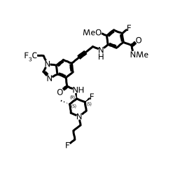 CNC(=O)c1cc(NCC#Cc2cc(C(=O)N[C@@H]3[C@@H](C)CN(CCCF)C[C@@H]3F)c3ncn(CC(F)(F)F)c3c2)c(OC)cc1F